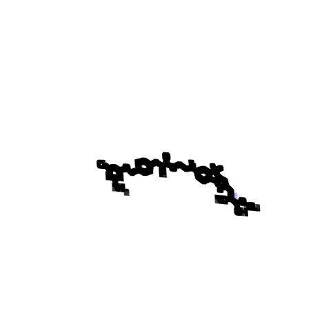 CN(CCOC(=O)NCc1ccc(COc2cc(Cl)nc(N)n2)cc1)c1ccc2c(c1)C(C)(C)c1cc(/C=C(\C#N)C(O)OC(C)(C)C)sc1-2